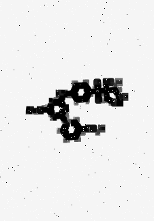 CNc1nc(Nc2ccc(S(=O)(=O)C(CO)(CO)S(=O)(=O)O)cc2)nc(-[n+]2cccc(C(=O)O)c2)n1